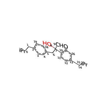 CC(C)Cc1ccc(CC(O)(C=O)c2ccc(CC(C)C)cc2)cc1